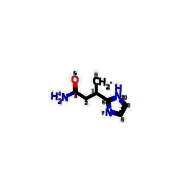 [CH2]C(CC(N)=O)c1ncc[nH]1